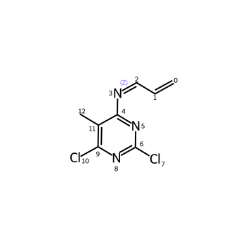 C=C/C=N\c1nc(Cl)nc(Cl)c1C